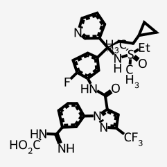 CCS(C)(C)(=O)N[C@@](CCC1CC1)(c1cccnc1)c1ccc(F)c(NC(=O)c2cc(C(F)(F)F)nn2-c2cccc(C(=N)NC(=O)O)c2)c1